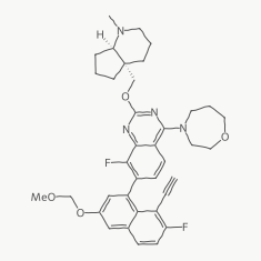 C#Cc1c(F)ccc2cc(OCOC)cc(-c3ccc4c(N5CCCOCC5)nc(OC[C@]56CCC[C@H]5N(C)CCC6)nc4c3F)c12